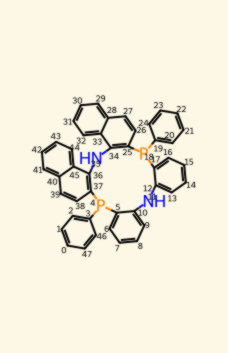 c1ccc(P2c3ccccc3Nc3ccccc3P(c3ccccc3)c3ccc4ccccc4c3Nc3c2ccc2ccccc32)cc1